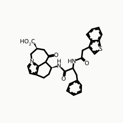 O=C(Cc1csc2ccccc12)NC(Cc1ccccc1)C(=O)N[C@H]1CCc2ccn3c2C1C(=O)C[C@H](C(=O)O)C3